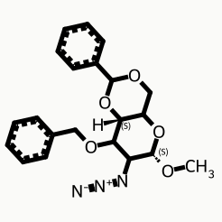 CO[C@H]1OC2COC(c3ccccc3)O[C@H]2C(OCc2ccccc2)C1N=[N+]=[N-]